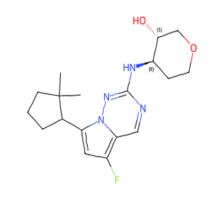 CC1(C)CCCC1c1cc(F)c2cnc(N[C@@H]3CCOC[C@H]3O)nn12